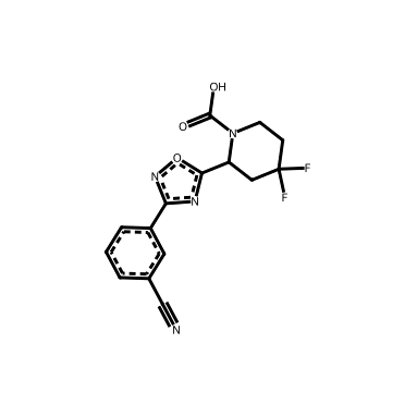 N#Cc1cccc(-c2noc(C3CC(F)(F)CCN3C(=O)O)n2)c1